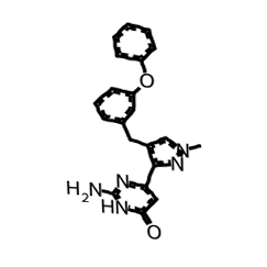 Cn1cc(Cc2cccc(Oc3ccccc3)c2)c(-c2cc(=O)[nH]c(N)n2)n1